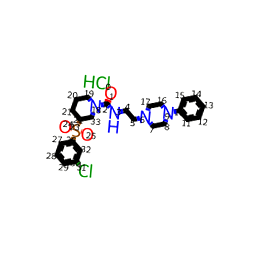 Cl.O=C(NCCN1CCN(c2ccccc2)CC1)N1CCCC(S(=O)(=O)c2cccc(Cl)c2)C1